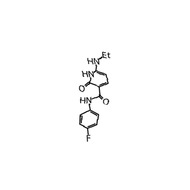 CCNc1ccc(C(=O)Nc2ccc(F)cc2)c(=O)[nH]1